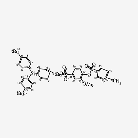 CC(C)(C)c1ccc([S+](c2ccc(C(C)(C)C)cc2)c2ccc(C(C)(C)C)cc2)cc1.COc1cc(S(=O)(=O)[O-])ccc1OS(=O)(=O)c1ccc(C)cc1